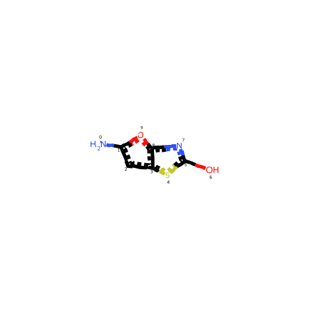 Nc1cc2sc(O)nc2o1